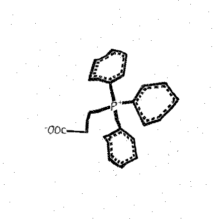 O=C([O-])CC[P+](c1ccccc1)(c1ccccc1)c1ccccc1